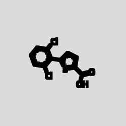 O=C(O)c1ccc(-c2c(Cl)cccc2Cl)s1